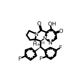 O=C1c2c(O)c(=O)cnn2[C@@H]([C@H](c2ccc(F)cc2)c2cc(F)ccc2F)[C@H]2CCCN12